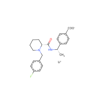 C[C@H](NC(=O)[C@H]1CCCCN1Cc1ccc(F)cc1)c1ccc(C(=O)[O-])cc1.[Li+]